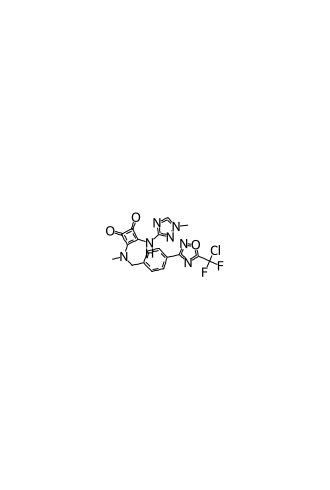 CN(Cc1ccc(-c2noc(C(F)(F)Cl)n2)cc1)c1c(Nc2ncn(C)n2)c(=O)c1=O